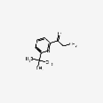 BC(C)(C)c1cccc(C(=O)CC)n1